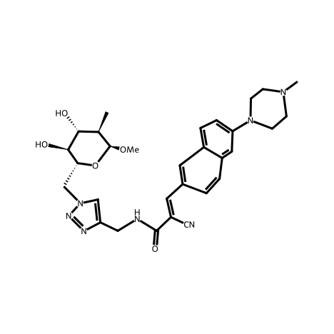 CO[C@H]1O[C@H](Cn2cc(CNC(=O)/C(C#N)=C/c3ccc4cc(N5CCN(C)CC5)ccc4c3)nn2)[C@@H](O)[C@H](O)[C@H]1C